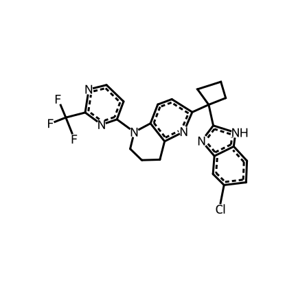 FC(F)(F)c1nccc(N2CCCc3nc(C4(c5nc6cc(Cl)ccc6[nH]5)CCC4)ccc32)n1